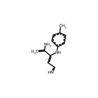 C=C(N)/C(=C/C=N)Nc1ccc(C)cc1